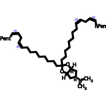 CCCCC/C=C\C/C=C\CCCCCCCCC1(CCCCCCCC/C=C\C/C=C\CCCCC)O[C@H]2C[C@H](N(C)C)C[C@H]2O1